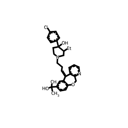 CCC1CN(CC/C=C2/c3cc(C(C)(C)O)ccc3OCc3ncccc32)CCC1(O)c1ccc(Cl)cc1